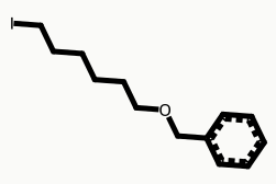 ICCCCCCOCc1ccccc1